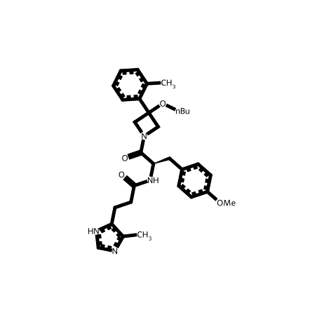 CCCCOC1(c2ccccc2C)CN(C(=O)[C@@H](Cc2ccc(OC)cc2)NC(=O)CCc2[nH]cnc2C)C1